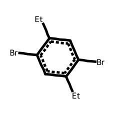 CCc1cc(Br)c(CC)cc1Br